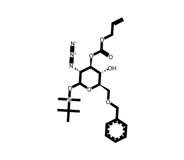 C=CCOC(=O)O[C@H]1[C@H](O)[C@@H](COCc2ccccc2)OC(O[Si](C)(C)C(C)(C)C)[C@@H]1N=[N+]=[N-]